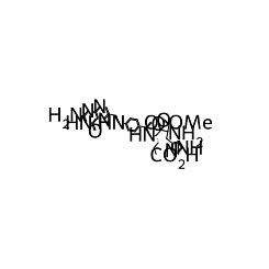 COC(=O)[C@@](N)(Cc1c[nH]cn1)C(=O)[C@H](CCC(=O)O)NC(=O)c1ccc(NCc2cnc3nc(N)[nH]c(=O)c3n2)cc1